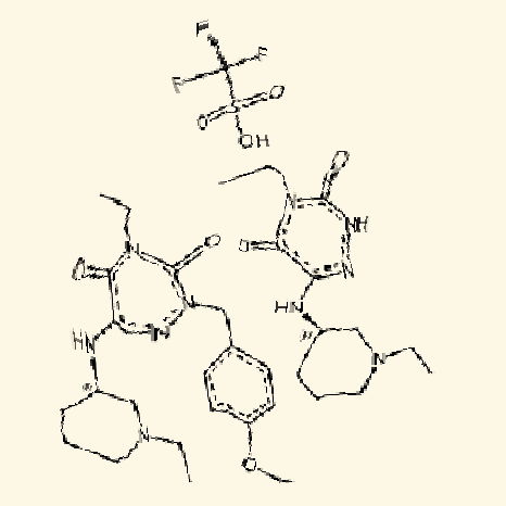 CCN1CCC[C@@H](Nc2n[nH]c(=O)n(CC)c2=O)C1.CCN1CCC[C@@H](Nc2nn(Cc3ccc(OC)cc3)c(=O)n(CC)c2=O)C1.O=S(=O)(O)C(F)(F)F